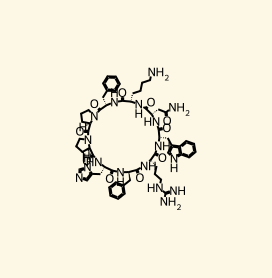 N=C(N)NCCC[C@@H]1NC(=O)[C@@H](Cc2ccccc2)NC(=O)[C@H](Cc2cnc[nH]2)NC(=O)[C@@H]2CCCN2C(=O)[C@H]2CCCN2C(=O)[C@H](Cc2ccccc2)NC(=O)[C@H](CCCCN)NC(=O)[C@H](CC(N)=O)NC(=O)[C@H](Cc2c[nH]c3ccccc23)NC1=O